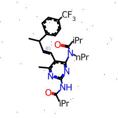 CCCN(C(=O)C(C)C)c1nc(NC(=O)C(C)C)nc(C)c1/C=C/C(C)c1ccc(C(F)(F)F)cc1